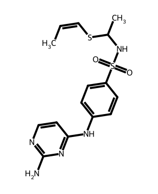 C/C=C\SC(C)NS(=O)(=O)c1ccc(Nc2ccnc(N)n2)cc1